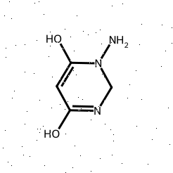 NN1CN=C(O)C=C1O